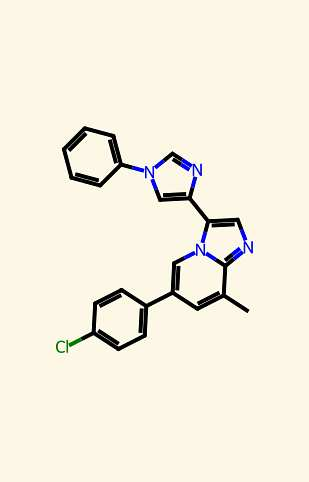 Cc1cc(-c2ccc(Cl)cc2)cn2c(-c3cn(-c4ccccc4)cn3)cnc12